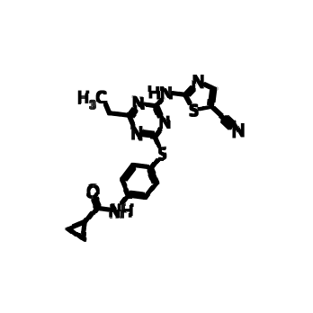 CCc1nc(Nc2ncc(C#N)s2)nc(Sc2ccc(NC(=O)C3CC3)cc2)n1